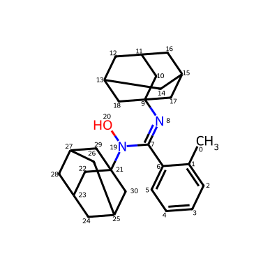 Cc1ccccc1C(=NC12CC3CC(CC(C3)C1)C2)N(O)C12CC3CC(CC(C3)C1)C2